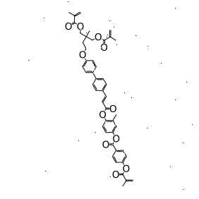 C=C(C)C(=O)OCC(C)(CCOc1ccc(-c2ccc(/C=C/C(=O)Oc3ccc(OC(=O)c4ccc(OC(=O)C(=C)C)cc4)cc3C)cc2)cc1)COC(=O)C(=C)C